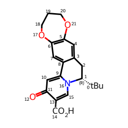 CC(C)(C)[C@H]1Cc2cc3c(cc2-c2cc(=O)c(C(=O)O)cn21)OCCCO3